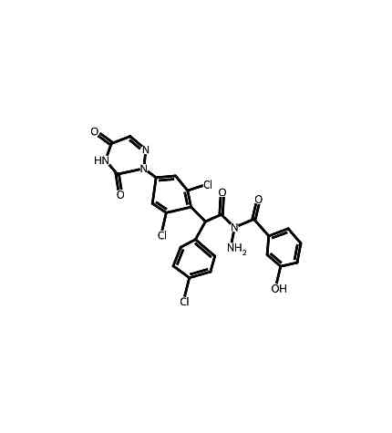 NN(C(=O)c1cccc(O)c1)C(=O)C(c1ccc(Cl)cc1)c1c(Cl)cc(-n2ncc(=O)[nH]c2=O)cc1Cl